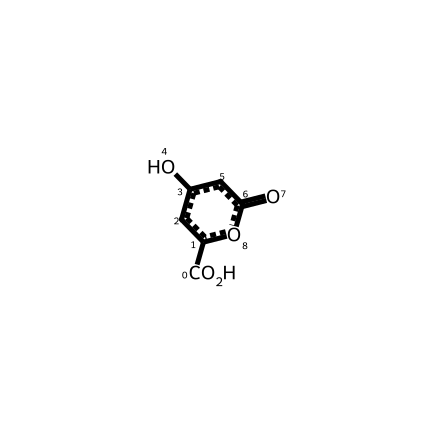 O=C(O)c1cc(O)cc(=O)o1